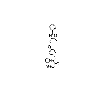 COC(=O)[C@H](Cc1ccc(OCCc2nc(-c3ccccc3)oc2C)cc1)n1cccc1